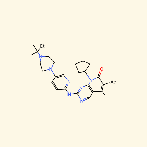 CCC(C)(C)N1CCN(c2ccc(Nc3ncc4c(C)c(C(C)=O)c(=O)n(C5CCCC5)c4n3)nc2)CC1